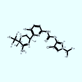 C[C@@]1(c2nc(NC(=O)Oc3nn(C(F)F)cc3Cl)ccc2F)CO[C@@](C)(C(F)(F)F)C(N)=N1